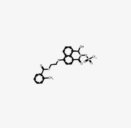 Cc1ccccc1C(=O)OCCSc1ccc2c3c(cccc13)C(O)N(OS(=O)(=O)C(F)(F)F)C2=O